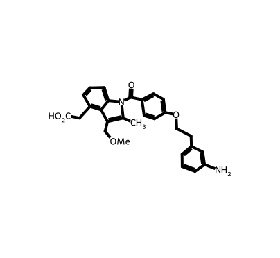 COCc1c(C)n(C(=O)c2ccc(OCCc3cccc(N)c3)cc2)c2cccc(CC(=O)O)c12